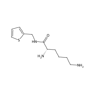 NCCCC[C@H](N)C(=O)NCc1cccs1